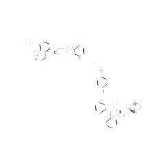 COc1cc(OCCOC(=O)c2ccc(COc3cccc(C(NC(=O)O[C@H]4CN5CCC4CC5)c4ccccc4)c3)cc2)c(Cl)cc1CNC[C@@H](O)c1ccc(O)c2[nH]c(=O)ccc12